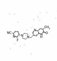 Cc1cc2ncc(CN3CCN(c4ccc(C#N)nc4F)CC3)cc2[nH]c1=O